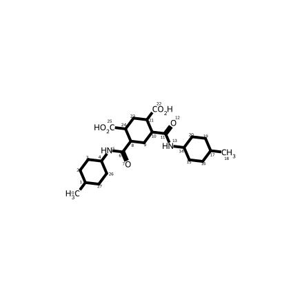 CC1CCC(NC(=O)C2CC(C(=O)NC3CCC(C)CC3)C(C(=O)O)CC2C(=O)O)CC1